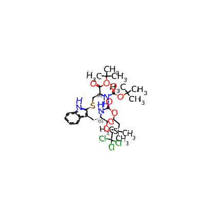 CC(C)(C)OC(=O)N[C@@H](CSc1[nH]c2ccccc2c1C[C@H](NC(=O)OCC[Si](C)(C)C)C(=O)OCC(Cl)(Cl)Cl)C(=O)OC(C)(C)C